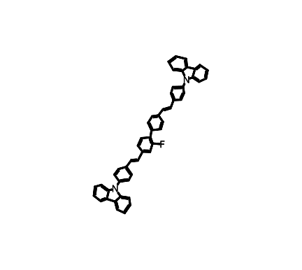 Fc1cc(C=Cc2ccc(-n3c4ccccc4c4ccccc43)cc2)ccc1-c1ccc(C=Cc2ccc(-n3c4ccccc4c4ccccc43)cc2)cc1